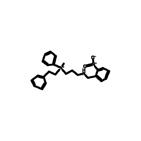 C[N+](CCCNCc1ccccc1[N+](=O)[O-])(CCc1ccccc1)c1ccccc1